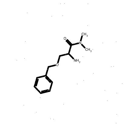 CN(C)C(=O)C(N)COCc1ccccc1